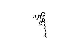 CC(C)=CCC/C(C)=C/CCC1=C[C@H](c2ccccc2[N+](=O)[O-])OC1=O